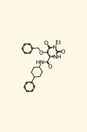 CCn1c(=O)[nH]c(C(=O)NC2CCC(c3ccccc3)CC2)c(OCc2ccccc2)c1=O